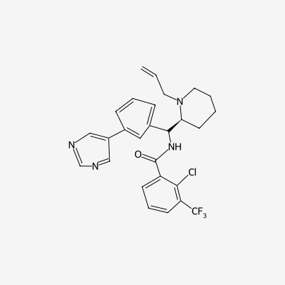 C=CCN1CCCC[C@H]1C(NC(=O)c1cccc(C(F)(F)F)c1Cl)c1cccc(-c2cncnc2)c1